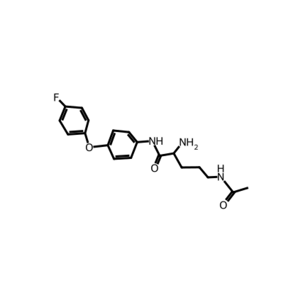 CC(=O)NCCCC(N)C(=O)Nc1ccc(Oc2ccc(F)cc2)cc1